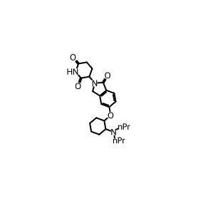 CCCN(CCC)C1CCCCC1Oc1ccc2c(c1)CN(C1CCC(=O)NC1=O)C2=O